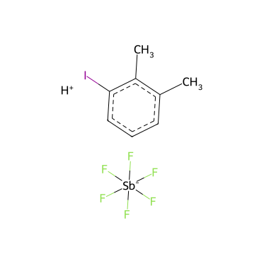 Cc1cccc(I)c1C.[F][Sb-]([F])([F])([F])([F])[F].[H+]